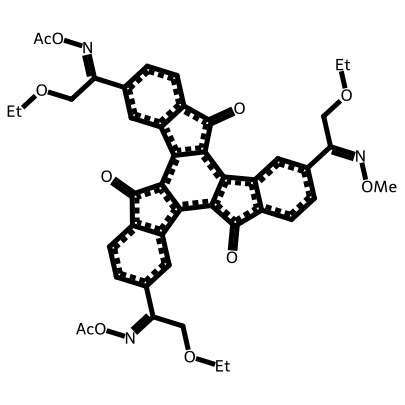 CCOC/C(=N\OC(C)=O)c1ccc2c(=O)c3c(c2c1)c1c(=O)c2ccc(/C(COCC)=N\OC(C)=O)cc2c1c1c(=O)c2ccc(/C(COCC)=N\OC)cc2c31